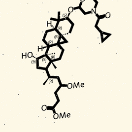 COC(=O)CCC(C[C@@H](C)C1C[C@H](O)[C@@]2(C)[C@@H]3CC[C@H]4C(C)(C)[C@@H](OC5CN(C(=O)CC6CC6)CCO5)CC[C@@]45CC35CC[C@]12C)OC